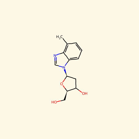 Cc1cccc2c1ncn2[C@H]1CC(O)[C@@H](CO)O1